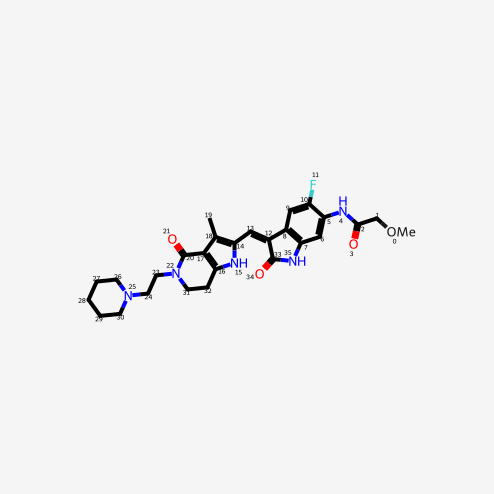 COCC(=O)Nc1cc2c(cc1F)/C(=C/c1[nH]c3c(c1C)C(=O)N(CCN1CCCCC1)CC3)C(=O)N2